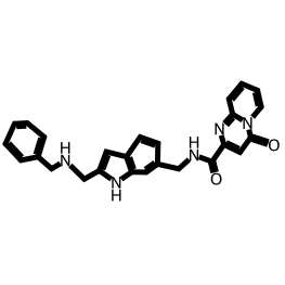 O=C(NCc1ccc2cc(CNCc3ccccc3)[nH]c2c1)c1cc(=O)n2ccccc2n1